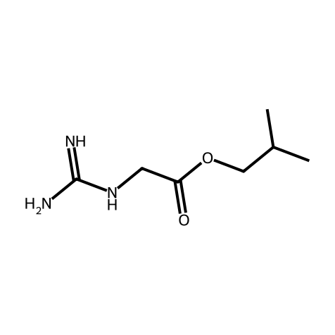 CC(C)COC(=O)CNC(=N)N